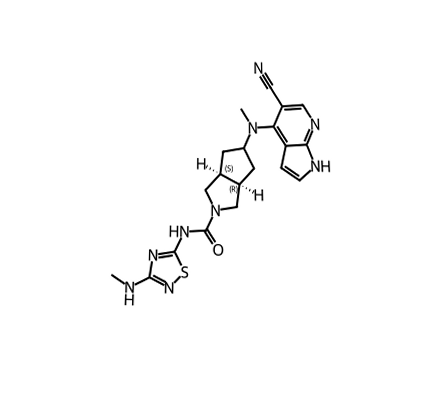 CNc1nsc(NC(=O)N2C[C@H]3CC(N(C)c4c(C#N)cnc5[nH]ccc45)C[C@H]3C2)n1